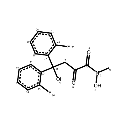 CN(O)C(=O)C(=O)CC(O)(c1ccccc1F)c1ccccc1F